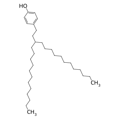 CCCCCCCCCCCCC(CCCCCCCCCCCC)CCc1ccc(O)cc1